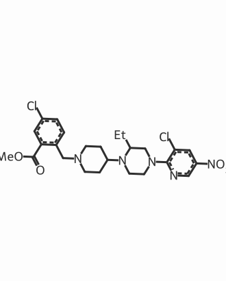 CCC1CN(c2ncc([N+](=O)[O-])cc2Cl)CCN1C1CCN(Cc2ccc(Cl)cc2C(=O)OC)CC1